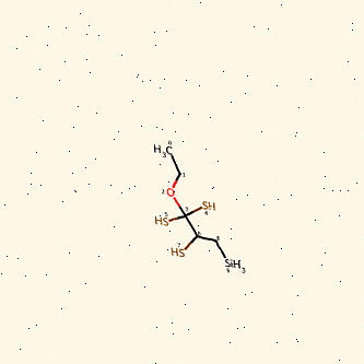 CCOC(S)(S)C(S)C[SiH3]